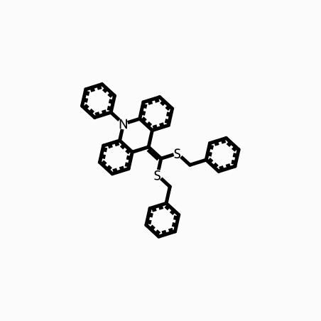 c1ccc(CSC(SCc2ccccc2)=C2c3ccccc3N(c3ccccc3)c3ccccc32)cc1